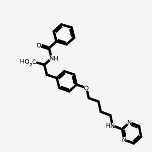 O=C(NC(Cc1ccc(OCCCCNc2ncccn2)cc1)C(=O)O)c1ccccc1